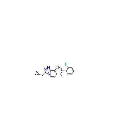 Cc1ccc(CC(C)c2ccn3c(CC4CC4)nnc3c2C(F)(F)F)c(F)c1